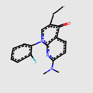 [CH2]Cc1cn(-c2ccccc2F)c2nc(N(C)C)ccc2c1=O